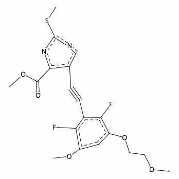 COCCOc1cc(OC)c(F)c(C#Cc2cnc(SC)nc2C(=O)OC)c1F